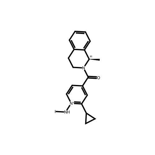 C[C@@H]1c2ccccc2CCN1C(=O)c1cc[n+](NI)c(C2CC2)c1